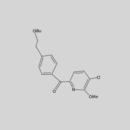 COc1nc(C(=O)c2ccc(CCOCC(C)C)cc2)ccc1Cl